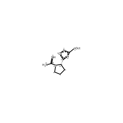 CCCCCCCCc1noc([C@@H]2CCCN2C(=N)N)n1